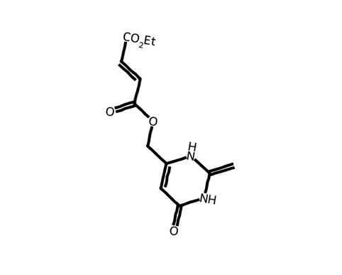 C=C1NC(=O)C=C(COC(=O)/C=C/C(=O)OCC)N1